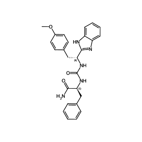 COc1ccc(C[C@@H](NC(=O)N[C@@H](Cc2ccccc2)C(N)=O)c2nc3ccccc3[nH]2)cc1